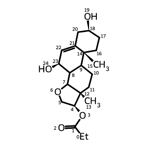 CCC(=O)O[C@H]1COC2C3C(CC[C@@]21C)[C@@]1(C)CC[C@H](O)CC1=C[C@@H]3O